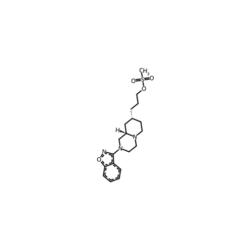 CS(=O)(=O)OCCC[C@@H]1CCN2CCN(c3noc4ccccc34)C[C@@H]2C1